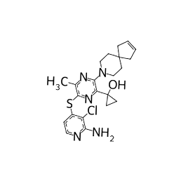 Cc1nc(N2CCC3(CC=CC3)CC2)c(C2(O)CC2)nc1Sc1ccnc(N)c1Cl